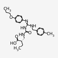 CCCOc1ccc(/N=C(/NCc2ccc(C)cc2)NC(=O)NC[C@H](CC)C(=O)O)cc1